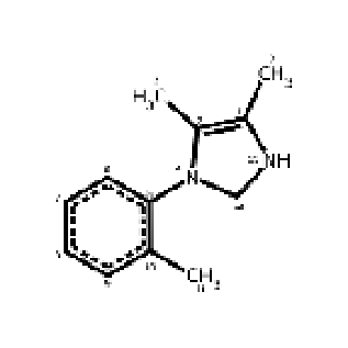 CC1=C(C)N(c2ccccc2C)CN1